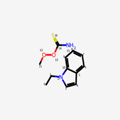 CCn1ccc2ccccc21.COOC(N)=S